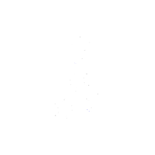 O=C(Nc1ccc(C(C(=O)NO)c2ccccc2)cc1)C1CCC1